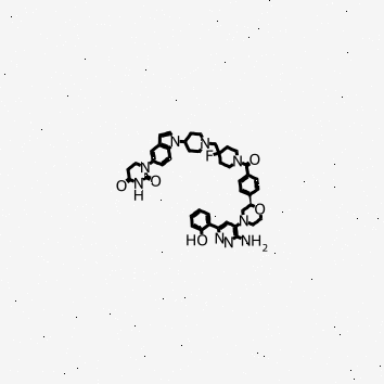 Nc1nnc(-c2ccccc2O)cc1N1CCO[C@H](c2ccc(C(=O)N3CCC(F)(CN4CCC(n5ccc6cc(N7CCC(=O)NC7=O)ccc65)CC4)CC3)cc2)C1